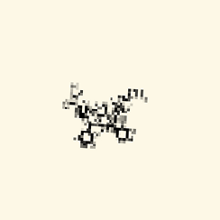 CCOP(=O)(C[C@H]1O[C@@H](n2cnc(C(N)=O)n2)[C@H](OC(=O)c2ccccc2)[C@@H]1OC(=O)c1ccccc1)OCC